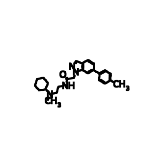 Cc1ccc(-c2ccc3cnn(CC(=O)NCCN(C)C4CCCCC4)c3c2)cc1